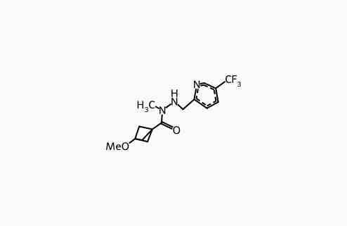 COC12CC(C(=O)N(C)NCc3ccc(C(F)(F)F)cn3)(C1)C2